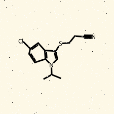 CC(C)n1cc(SCCC#N)c2cc(Cl)ccc21